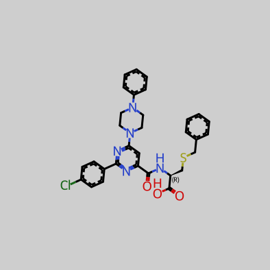 O=C(N[C@@H](CSCc1ccccc1)C(=O)O)c1cc(N2CCN(c3ccccc3)CC2)nc(-c2ccc(Cl)cc2)n1